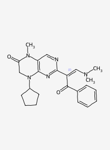 CN(C)/C=C(\C(=O)c1ccccc1)c1ncc2c(n1)N(C1CCCC1)CC(=O)N2C